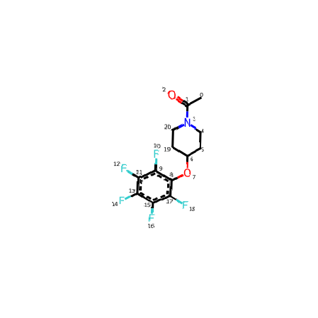 CC(=O)N1CCC(Oc2c(F)c(F)c(F)c(F)c2F)CC1